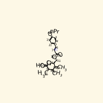 CCCOc1ccc(/C=C/C(=O)OCC2O[C@H](O)C(C)[C@@H](C)[C@@H]2C)cc1